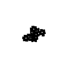 CN1CCN(Cc2c(-c3ccccc3)nc3ccccc3c2C(=O)NCCc2ccccc2C#N)CC1